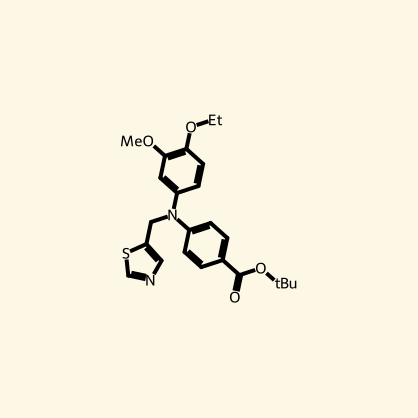 CCOc1ccc(N(Cc2cncs2)c2ccc(C(=O)OC(C)(C)C)cc2)cc1OC